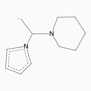 [CH2]C(N1CCCCC1)n1cccc1